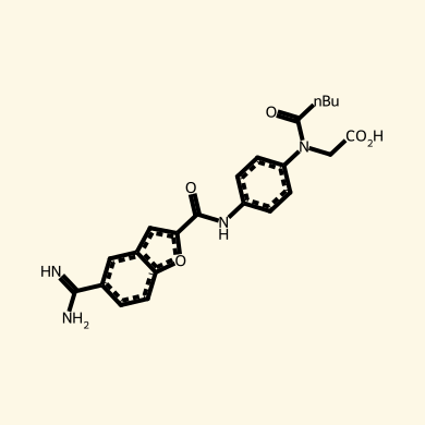 CCCCC(=O)N(CC(=O)O)c1ccc(NC(=O)c2cc3cc(C(=N)N)ccc3o2)cc1